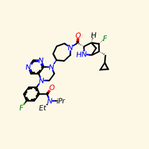 CCN(C(=O)c1cc(F)ccc1N1CCN([C@H]2CCCN(C(=O)[C@H]3NC4C[C@@H]3[C@H](F)[C@@H]4CC3CC3)CC2)c2ncncc21)C(C)C